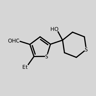 CCc1sc(C2(O)CCSCC2)cc1C=O